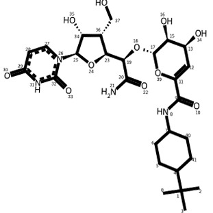 CC(C)(C)C1CCC(NC(=O)C2=C[C@H](O)[C@H](O)[C@@H](O[C@@H](C(N)=O)[C@H]3O[C@@H](n4ccc(=O)[nH]c4=O)[C@H](O)[C@@H]3CO)O2)CC1